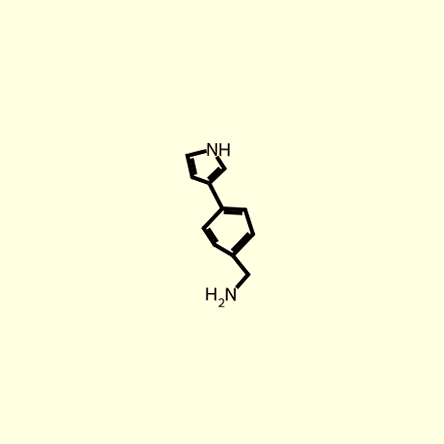 NCc1ccc(-c2cc[nH]c2)cc1